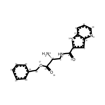 N[C@H](CNC(=O)c1cc2ncccc2s1)C(=O)OCc1ccccc1